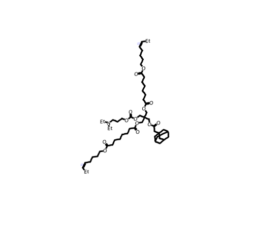 CC/C=C\CCCCOC(=O)CCCCCCC(=O)OCC(COC(=O)CCCCCCC(=O)OCCCC/C=C\CC)(COC(=O)CC12CC3CC(CC(C3)C1)C2)COC(=O)OCCCN(CC)CC